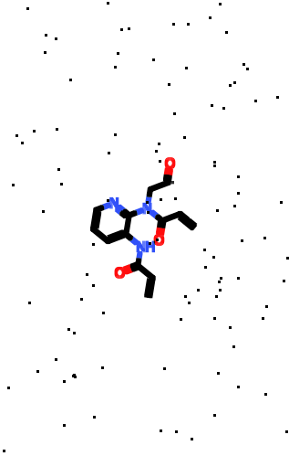 C=CC(=O)Nc1cccnc1N(C[C]=O)C(=O)C=C